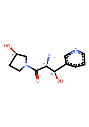 N[C@H](C(=O)N1CC[C@@H](O)C1)[C@H](O)c1cccnc1